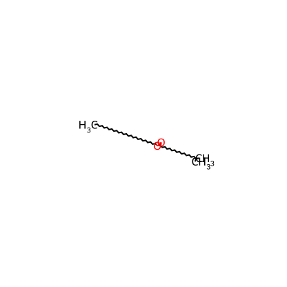 CCCCCCCCCCCCCCCCCCCCCCCCCCOC(=O)CCCCCCCCCCCCCCC(C)C